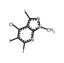 Cn1nc(I)c2c(Cl)c(I)c(I)nc21